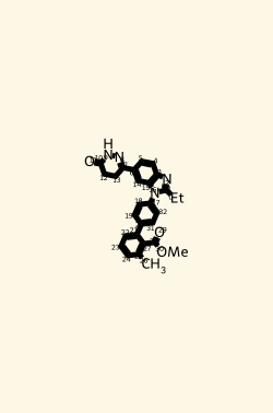 CCc1nc2ccc(C3=NNC(=O)CC3)cc2n1-c1ccc(-c2cccc(C)c2C(=O)OC)cc1